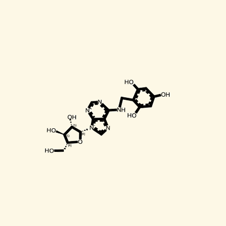 OC[C@H]1O[C@@H](n2cnc3c(NCc4c(O)cc(O)cc4O)ncnc32)[C@@H](O)[C@@H]1O